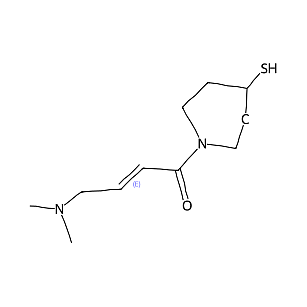 CN(C)C/C=C/C(=O)N1CCC(S)CC1